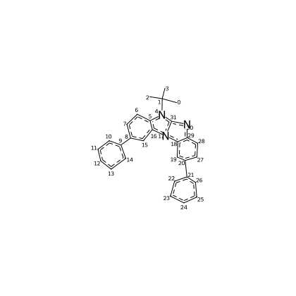 CC(C)(C)n1c2ccc(-c3ccccc3)cc2n2c3cc(-c4ccccc4)ccc3nc12